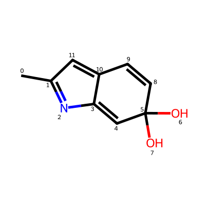 CC1=NC2=CC(O)(O)C=CC2=C1